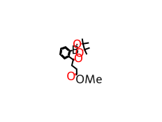 COC(=O)CCC(=O)c1ccccc1B1OC(C)(C)C(C)(C)O1